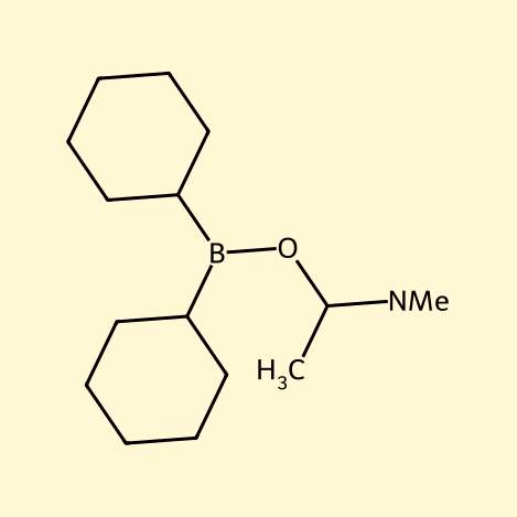 CNC(C)OB(C1CCCCC1)C1CCCCC1